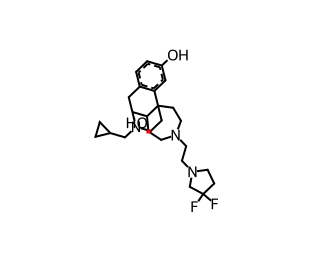 Oc1ccc2c(c1)C13CCN(CCN4CCC(F)(F)C4)CCC1(O)C(C2)N(CC1CC1)CC3